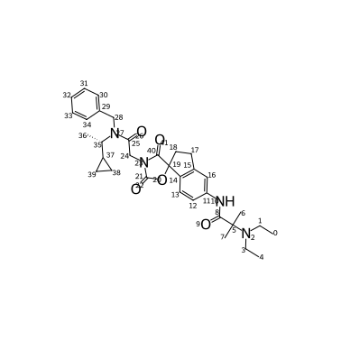 CCN(CC)C(C)(C)C(=O)Nc1ccc2c(c1)CCC21OC(=O)N(CC(=O)N(Cc2ccccc2)[C@@H](C)C2CC2)C1=O